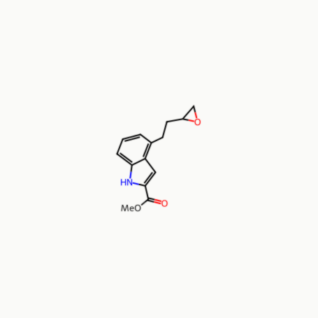 COC(=O)c1cc2c(CCC3CO3)cccc2[nH]1